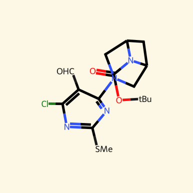 CSc1nc(Cl)c(C=O)c(N2CC3CC(C2)N3C(=O)OC(C)(C)C)n1